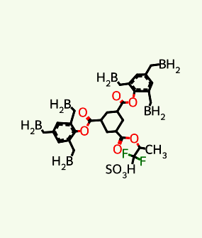 BCc1cc(CB)c(OC(=O)C2CC(C(=O)Oc3c(CB)cc(CB)cc3CB)CC(C(=O)OC(C)C(F)(F)S(=O)(=O)O)C2)c(CB)c1